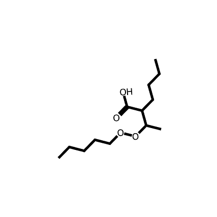 CCCCCOOC(C)C(CCCC)C(=O)O